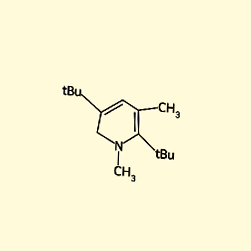 CC1=C(C(C)(C)C)N(C)CC(C(C)(C)C)=C1